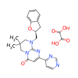 CC1(C)CN(C[C@@H]2Cc3ccccc3O2)c2nc(-c3ccncn3)cc(=O)n2C1.O=C(O)C(=O)O